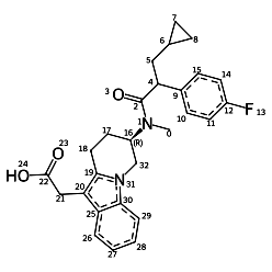 CN(C(=O)C(CC1CC1)c1ccc(F)cc1)[C@@H]1CCc2c(CC(=O)O)c3ccccc3n2C1